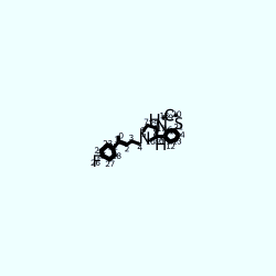 C/C(=C\CCN1CC[C@H]2[C@@H](C1)c1cccc3c1N2CCCS3)c1ccc(F)cc1